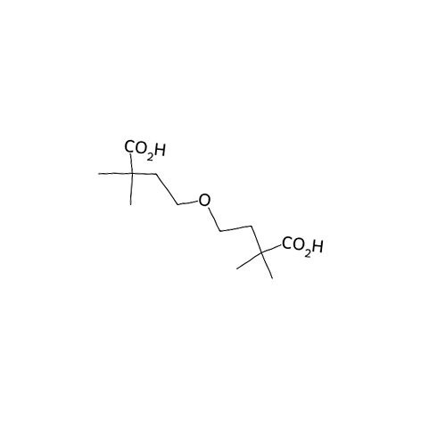 CC(C)(CCOCCC(C)(C)C(=O)O)C(=O)O